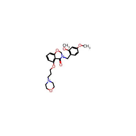 COc1ccc(CN2COc3cccc(OCCCN4CCOCC4)c3C2=O)c(OC)c1